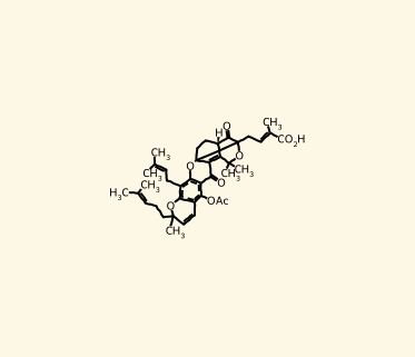 CC(=O)Oc1c2c(c(CC=C(C)C)c3c1C(=O)C1=C4[C@@H]5CC[C@@]1(O3)C(C/C=C(\C)C(=O)O)(OC4(C)C)C5=O)OC(C)(CCC=C(C)C)C=C2